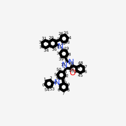 c1ccc(-n2c3ccccc3c3cc(-c4nc(-c5ccc(-n6c7ccccc7c7cc8ccccc8cc76)cc5)nc5c4oc4ccccc45)ccc32)cc1